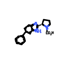 O=C(O)N1CCC[C@H]1c1nc2ccc(-c3ccccc3)cc2[nH]1